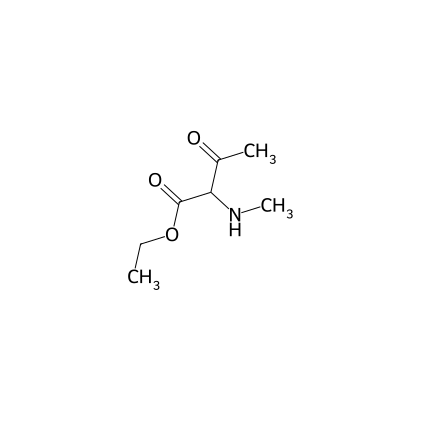 CCOC(=O)C(NC)C(C)=O